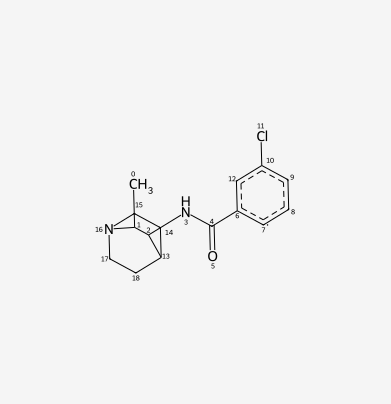 CC1C(NC(=O)c2[c]ccc(Cl)c2)C2CCN1CC2